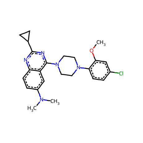 COc1cc(Cl)ccc1N1CCN(c2nc(C3CC3)nc3ccc(N(C)C)cc23)CC1